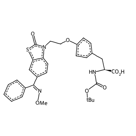 CON=C(c1ccccc1)c1ccc2c(c1)sc(=O)n2CCOc1ccc(C[C@H](NC(=O)OC(C)(C)C)C(=O)O)cc1